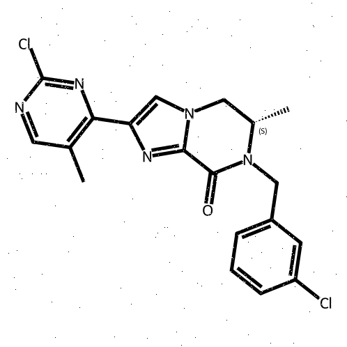 Cc1cnc(Cl)nc1-c1cn2c(n1)C(=O)N(Cc1cccc(Cl)c1)[C@@H](C)C2